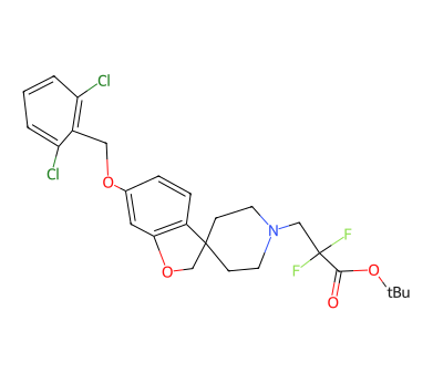 CC(C)(C)OC(=O)C(F)(F)CN1CCC2(CC1)COc1cc(OCc3c(Cl)cccc3Cl)ccc12